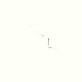 CSC(SCS)SCS